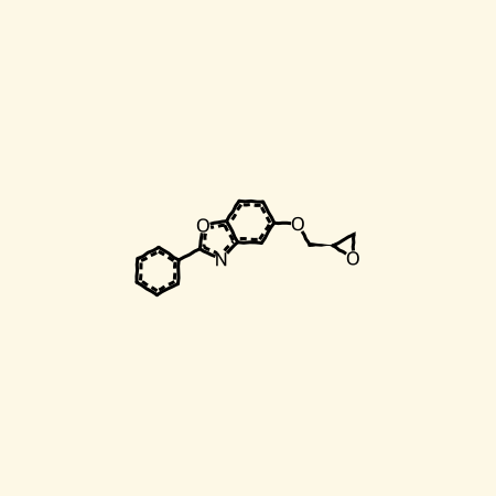 c1ccc(-c2nc3cc(OC[C@H]4CO4)ccc3o2)cc1